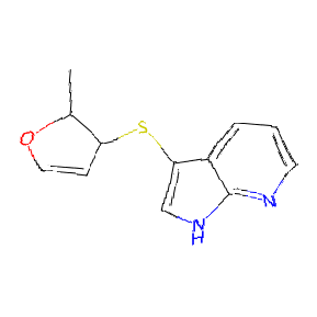 CC1OC=CC1Sc1c[nH]c2ncccc12